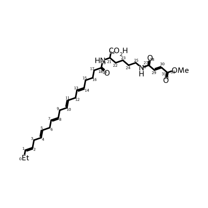 CCC=CCC=CCC=CCC=CCC=CCCCC(=O)NC(CCCCNC(=O)C=CC(=O)OC)C(=O)O